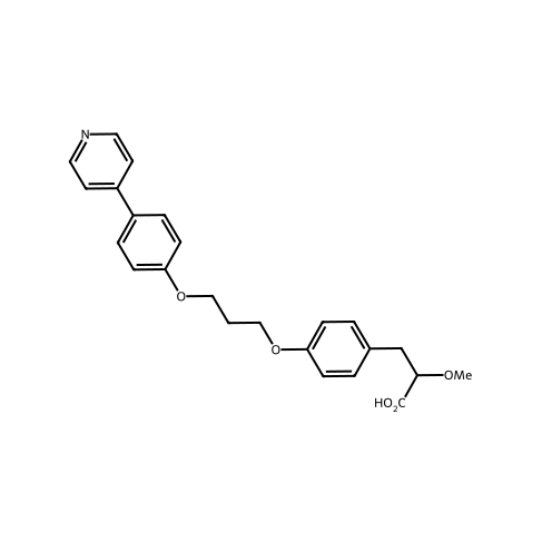 COC(Cc1ccc(OCCCOc2ccc(-c3ccncc3)cc2)cc1)C(=O)O